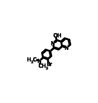 CN(C)c1ccc(-c2cc3ncccc3c(O)n2)cc1Br